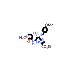 CCOC(=O)c1cnc2c(N(C)Cc3ccc(OC)cc3)cc(Nc3cccn(C)c3=O)nn12